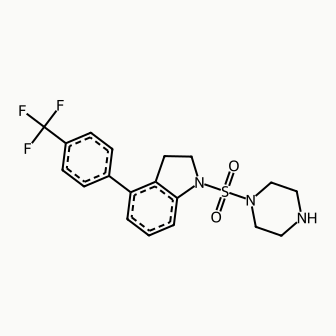 O=S(=O)(N1CCNCC1)N1CCc2c(-c3ccc(C(F)(F)F)cc3)cccc21